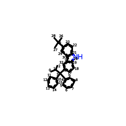 CC(C)C(c1ccccc1)(c1ccccc1)c1ccc2[nH]c3ccc(C(C)(C)C)cc3c2c1